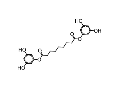 O=C(CCCCCCCC(=O)Oc1cc(O)cc(O)c1)Oc1cc(O)cc(O)c1